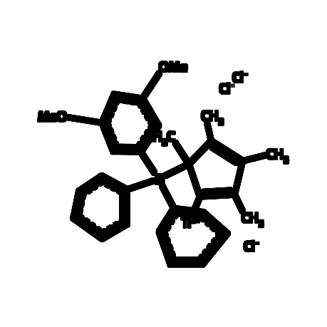 COc1cc(OC)cc([Si](c2ccccc2)(c2ccccc2)C2(C)C(C)=C(C)C(C)=[C]2[Ti+3])c1.[Cl-].[Cl-].[Cl-]